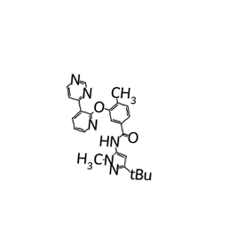 Cc1ccc(C(=O)Nc2cc(C(C)(C)C)nn2C)cc1Oc1ncccc1-c1ccncn1